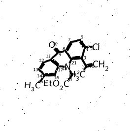 C=C(C)c1c(Cl)ccc2c(=O)c3ccc(C)cc3n(CC(=O)OCC)c12